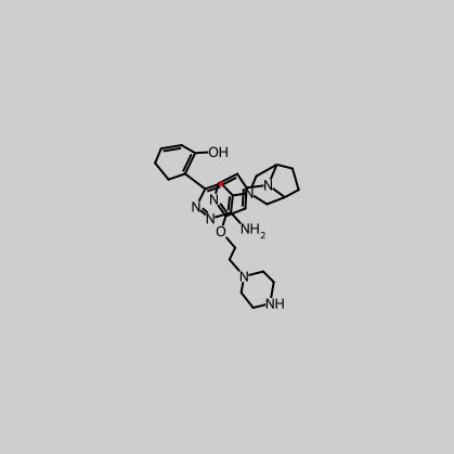 Nc1nnc(C2=C(O)C=CCC2)cc1N1CC2CCC(C1)N2c1ccnc(OCCN2CCNCC2)c1